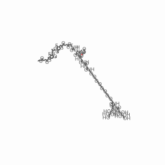 C=C(COc1c(OC)cc2sc(C(=O)CCC(=O)OCC)cc2c1F)COc1c(OC)cc2sc(C(=O)CCC(=O)O[C@@H](C)CNC(=O)CC[C@H](NC(=O)CN3C(=O)C=CC3=O)C(=O)NCC(=O)NCC(=O)NCC(=O)NCC(=O)NCCOCCOCCOCCOCCOCCOCCOCCOCCC(=O)N[C@@H](CCC(=O)NC[C@H](O)[C@@H](O)[C@H](O)[C@H](O)CO)C(=O)NC[C@H](O)[C@@H](O)[C@H](O)[C@H](O)CO)cc2c1F